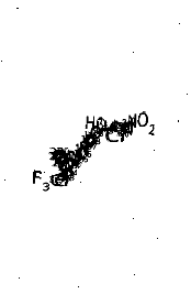 O=[N+]([O-])c1cn(CC[C@@H](O)COc2ccc(N3CCC(CC(OC4CCCCO4)c4ccc(OC(F)(F)F)cc4)CC3)cc2)c(Cl)n1